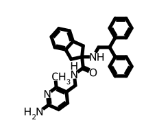 Cc1nc(N)ccc1CNC(=O)C1(NCC(c2ccccc2)c2ccccc2)Cc2ccccc2C1